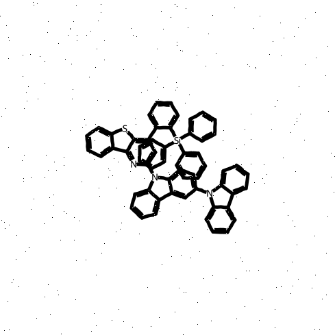 c1ccc([Si](c2ccccc2)(c2ccccc2)c2ccccc2-c2cc(-n3c4ccccc4c4cc(-n5c6ccccc6c6ccccc65)ccc43)nc3c2sc2ccccc23)cc1